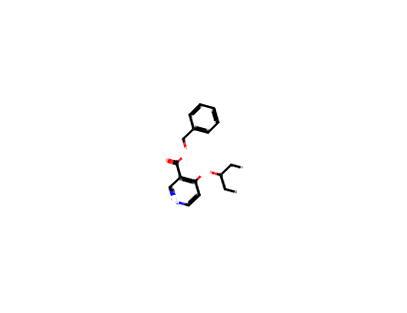 CCC(CC)Oc1ccncc1C(=O)OCc1ccccc1